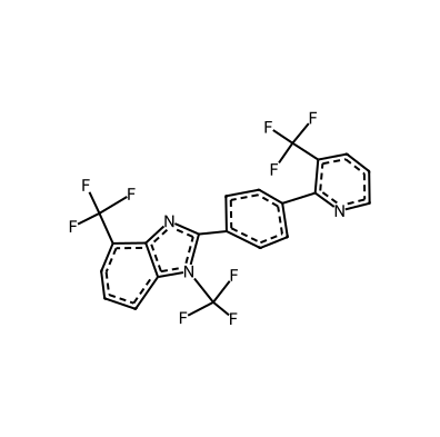 FC(F)(F)c1cccnc1-c1ccc(-c2nc3c(C(F)(F)F)cccc3n2C(F)(F)F)cc1